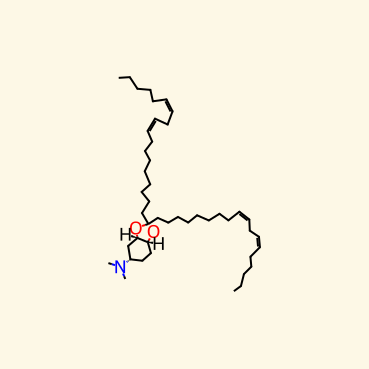 CCCCC/C=C\C/C=C\CCCCCCCCC1(CCCCCCCC/C=C\C/C=C\CCCCC)O[C@H]2C[C@@H](N(C)C)CC[C@H]2O1